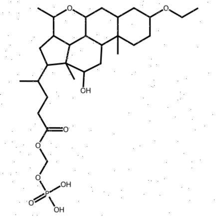 CCOC1CCC2(C)C(C1)CC1OC(C)C3CC(C(C)CCC(=O)OCOP(=O)(O)O)C4(C)C(O)CC2C1C34